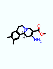 COC(=O)C1=C(N)C[C@H]2c3cc(C)c(C)cc3CCN2C1